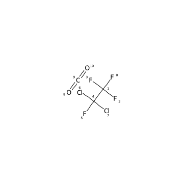 FC(F)(F)C(F)(Cl)Cl.O=C=O